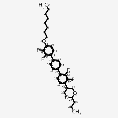 CCCCCCCCOc1ccc(-c2ccc(-c3ccc(C4COC(CCC)OC4)c(F)c3F)cc2)c(F)c1F